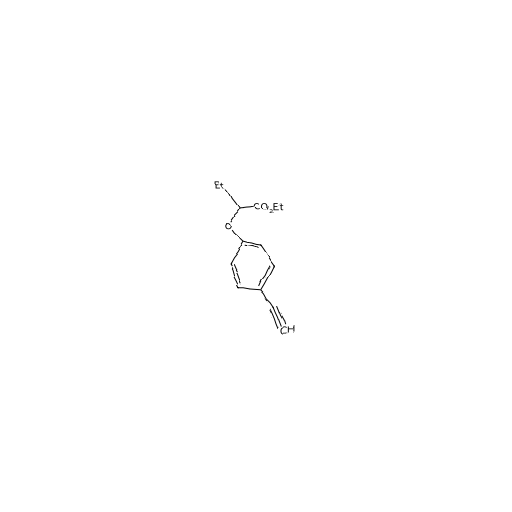 C#Cc1ccc(OC(CC)C(=O)OCC)cc1